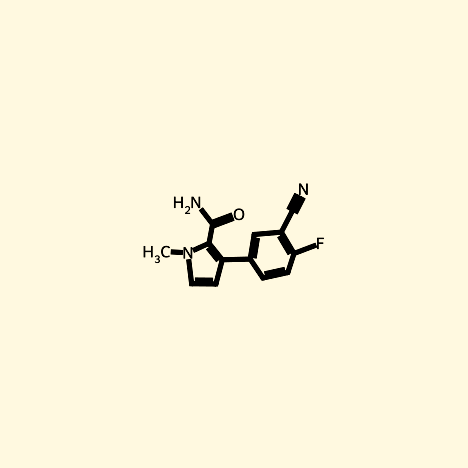 Cn1ccc(-c2ccc(F)c(C#N)c2)c1C(N)=O